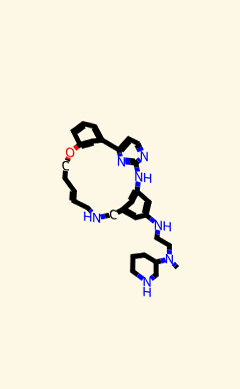 CN(CCNc1cc2cc(c1)Nc1nccc(n1)-c1cccc(c1)OCC/C=C/CNC2)C1CCCNC1